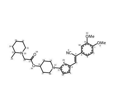 COc1ccc(/C(C#N)=C/c2ccc(N3CCC(OC(=O)CN4CCCCC4C)CC3)s2)cc1OC